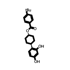 CC(C)(C)c1ccc(C(=O)O[C@H]2CC[C@H](c3ccc(O)cc3O)CC2)cc1